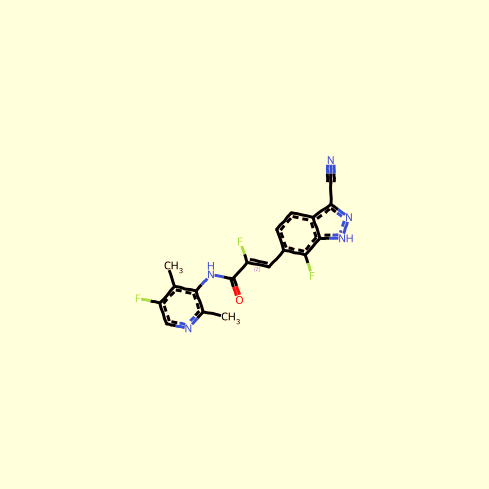 Cc1ncc(F)c(C)c1NC(=O)/C(F)=C/c1ccc2c(C#N)n[nH]c2c1F